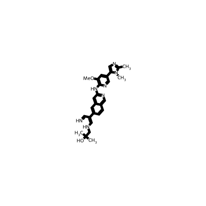 COc1cc(-c2cnc(C)n2C)cnc1Nc1cc2cc(/C(C=N)=C/NCC(C)(C)O)ccc2cn1